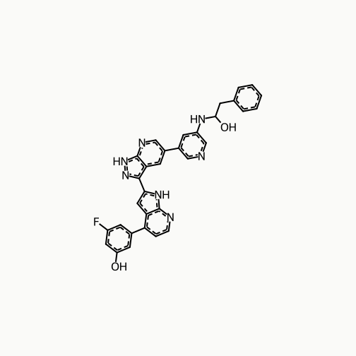 Oc1cc(F)cc(-c2ccnc3[nH]c(-c4n[nH]c5ncc(-c6cncc(NC(O)Cc7ccccc7)c6)cc45)cc23)c1